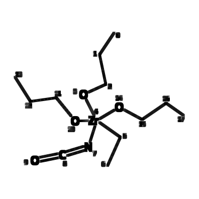 CCC[O][Zr]([CH2]C)([N]=C=O)([O]CCC)[O]CCC